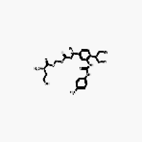 CC[C@@H](CC(=O)OCOC(=O)N(C)CCO)c1ccc(N(CC(C)C)CC(C)C)c(NC(=O)Nc2ccc(C)cc2)c1